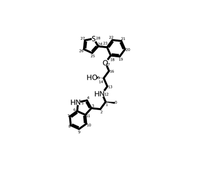 C[C@@H](Cc1c[nH]c2ccccc12)NC[C@H](O)COc1ccccc1-c1cccs1